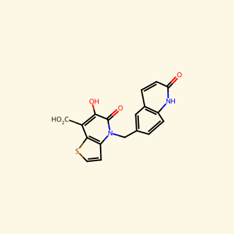 O=C(O)c1c(O)c(=O)n(Cc2ccc3[nH]c(=O)ccc3c2)c2ccsc12